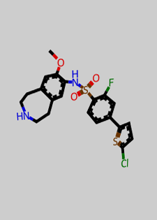 COc1cc2c(cc1NS(=O)(=O)c1ccc(-c3ccc(Cl)s3)cc1F)CCNCC2